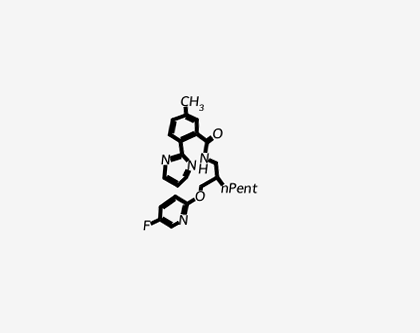 CCCCCC(CNC(=O)c1cc(C)ccc1-c1ncccn1)COc1ccc(F)cn1